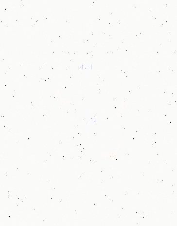 O=C1COCCN1C1CNCCO1